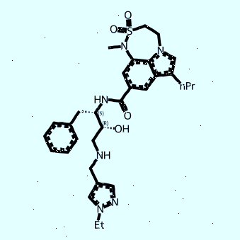 CCCc1cn2c3c(cc(C(=O)N[C@@H](Cc4ccccc4)[C@H](O)CNCc4cnn(CC)c4)cc13)N(C)S(=O)(=O)CC2